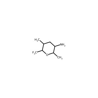 CC1CC(N)C(C)OC1C(F)(F)F